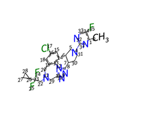 Cc1nc(N2CCC(c3nnc4n3-c3ccc(Cl)cc3CN(CC(F)(F)C3CC3)C4)CC2)ncc1F